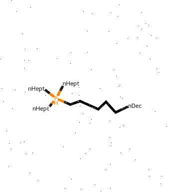 CCCCCCCCCCCCCCC[PH](CCCCCCC)(CCCCCCC)CCCCCCC